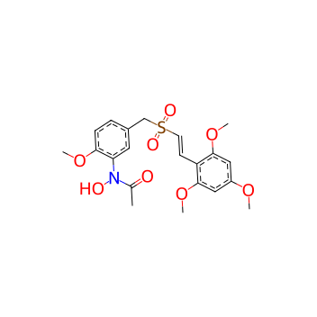 COc1cc(OC)c(C=CS(=O)(=O)Cc2ccc(OC)c(N(O)C(C)=O)c2)c(OC)c1